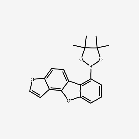 CC1(C)OB(c2cccc3oc4c5ccoc5ccc4c23)OC1(C)C